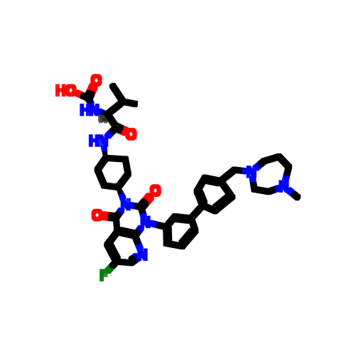 CC(C)[C@H](NC(=O)O)C(=O)N[C@H]1CC[C@@H](n2c(=O)c3cc(F)cnc3n(-c3cccc(-c4ccc(CN5CCCN(C)CC5)cc4)c3)c2=O)CC1